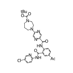 CC(=O)c1ccc(NC(=O)c2cnc(N3CCCN(C(=O)OC(C)(C)C)CC3)cn2)c(C(=O)Nc2ccc(Cl)cn2)c1